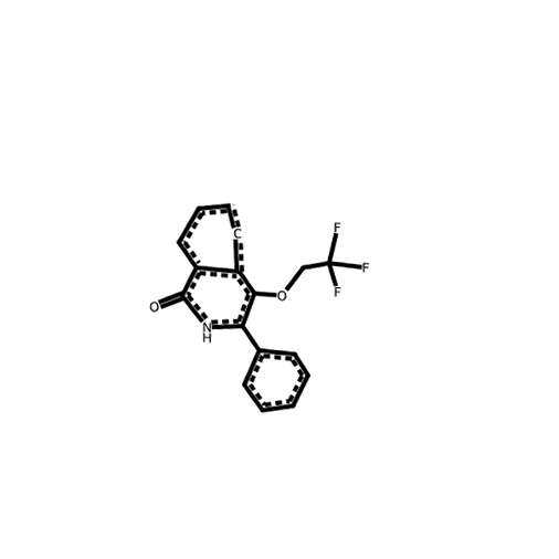 O=c1[nH]c(-c2ccccc2)c(OCC(F)(F)F)c2ccccc12